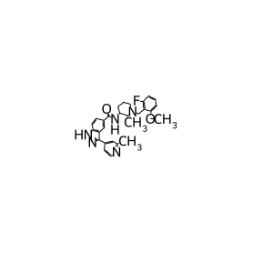 COc1cccc(F)c1CN1CCCC(NC(=O)c2ccc3[nH]nc(-c4ccnc(C)c4)c3c2)C1C